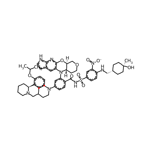 CC(C)Oc1ccccc1[C@@H]1CCCCN1CC1CCN(c2ccc(C(=O)NS(=O)(=O)c3ccc(NC[C@H]4CC[C@](C)(O)CC4)c([N+](=O)[O-])c3)c(N3c4cc5cc[nH]c5nc4O[C@H]4COCC[C@@H]43)c2)CC1